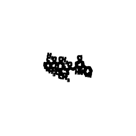 Cc1ncnc(C)c1C(=O)N[C@@H](C)CN1CC(C)(C)OCC1C(=O)Cc1cc(Cl)cc2c1[nH]c1cnccc12